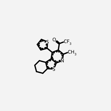 Cc1nc2sc3c(c2c(-c2cccs2)c1C(=O)C(F)(F)F)CCCC3